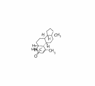 CC1=CC(=O)N[C@@H]2CC[C@H]3[C@@H]4CCC[C@@]4(C)CC[C@@H]3[C@@]12C